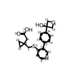 O=C(O)CC1(CSc2ccncc2-c2ccc(C3(O)COC3)cc2)CC1